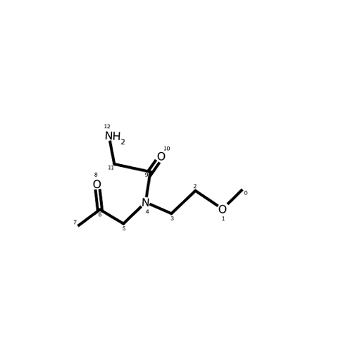 COCCN(CC(C)=O)C(=O)CN